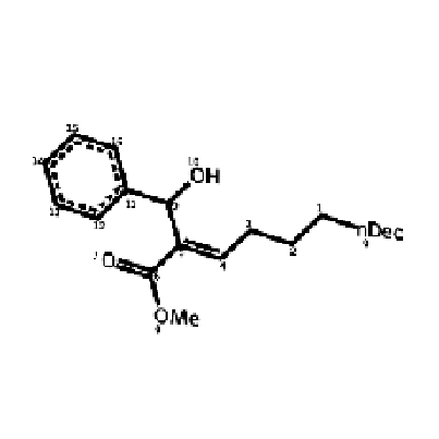 CCCCCCCCCCCCC/C=C(/C(=O)OC)C(O)c1ccccc1